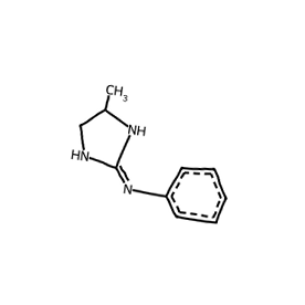 CC1CNC(=Nc2ccccc2)N1